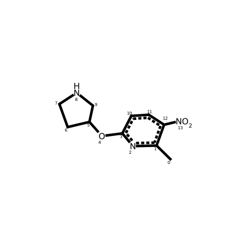 Cc1nc(OC2CCNC2)ccc1[N+](=O)[O-]